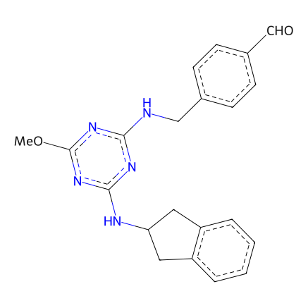 COc1nc(NCc2ccc(C=O)cc2)nc(NC2Cc3ccccc3C2)n1